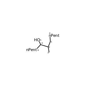 CCCCCCC(C)C(O)CCCCC